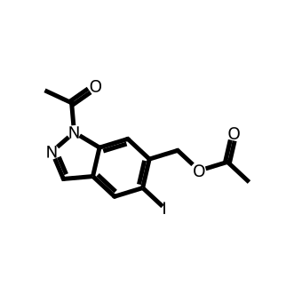 CC(=O)OCc1cc2c(cnn2C(C)=O)cc1I